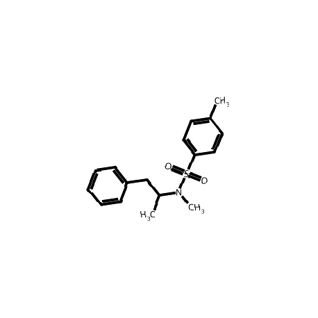 Cc1ccc(S(=O)(=O)N(C)C(C)Cc2ccccc2)cc1